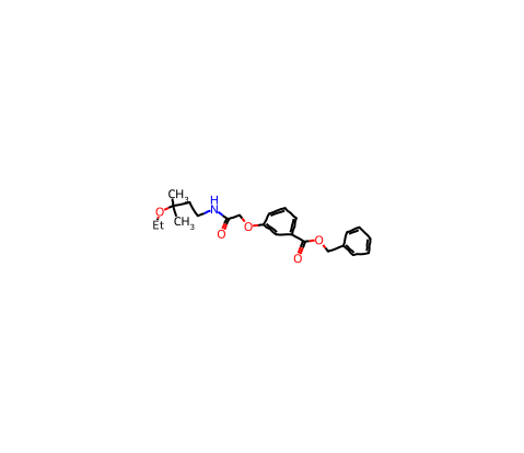 CCOC(C)(C)CCNC(=O)COc1cccc(C(=O)OCc2ccccc2)c1